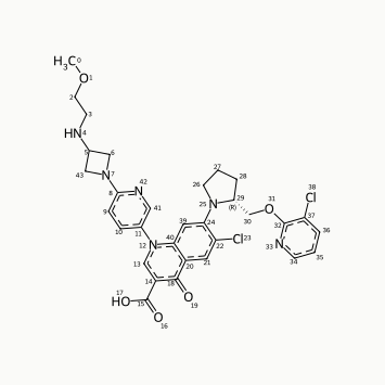 COCCNC1CN(c2ccc(-n3cc(C(=O)O)c(=O)c4cc(Cl)c(N5CCC[C@@H]5COc5ncccc5Cl)cc43)cn2)C1